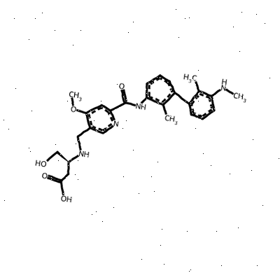 CNc1cccc(-c2cccc(NC(=O)c3cc(OC)c(CN[C@H](CO)CC(=O)O)cn3)c2C)c1C